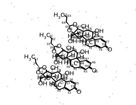 CCC[C@@H]1O[C@@H]2C[C@H]3[C@@H]4CCC5=CC(=O)C=C[C@]5(C)[C@H]4[C@@H](O)C[C@]3(C)[C@]2(C(=O)CO)O1.CCC[C@@H]1O[C@@H]2C[C@H]3[C@@H]4CCC5=CC(=O)C=C[C@]5(C)[C@H]4[C@@H](O)C[C@]3(C)[C@]2(C(=O)CO)O1.CCC[C@@H]1O[C@@H]2C[C@H]3[C@@H]4CCC5=CC(=O)C=C[C@]5(C)[C@H]4[C@@H](O)C[C@]3(C)[C@]2(C(=O)CO)O1